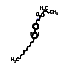 CCCCCCCCCCc1cnc(-c2ccc(/C=C/C(=O)OC[C@H](C)CC)cc2)nc1